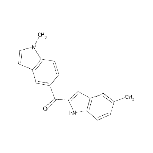 Cc1ccc2[nH]c(C(=O)c3ccc4c(ccn4C)c3)cc2c1